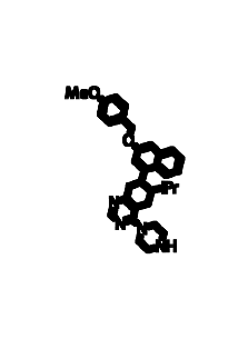 COc1ccc(COc2cc(C3Cc4ncnc(N5CCNCC5)c4CC3C(C)C)c3ccccc3c2)cc1